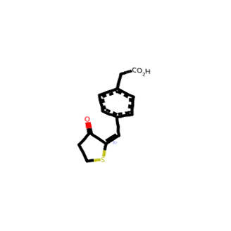 O=C(O)Cc1ccc(/C=C2/SCCC2=O)cc1